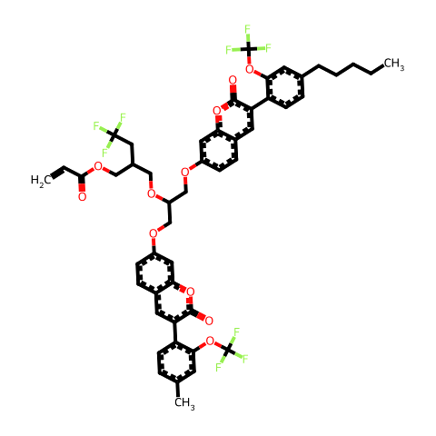 C=CC(=O)OCC(COC(COc1ccc2cc(-c3ccc(C)cc3OC(F)(F)F)c(=O)oc2c1)COc1ccc2cc(-c3ccc(CCCCC)cc3OC(F)(F)F)c(=O)oc2c1)CC(F)(F)F